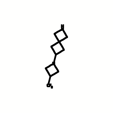 FC(F)(F)C1CN(C2CC3(CNC3)C2)C1